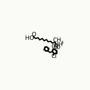 CC(CCCCCCCCCC(=O)O)NS(=O)(=O)c1ccc(Cl)c(Cc2ccccc2)c1